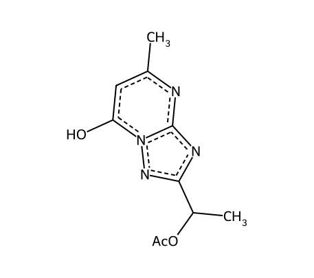 CC(=O)OC(C)c1nc2nc(C)cc(O)n2n1